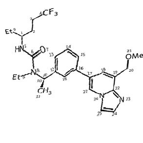 CCC(CCC(F)(F)F)NC(=O)N(CC)[C@H](C)c1cccc(-c2cc(COC)c3nccn3c2)c1